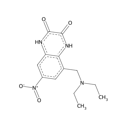 CCN(CC)Cc1cc([N+](=O)[O-])cc2[nH]c(=O)c(=O)[nH]c12